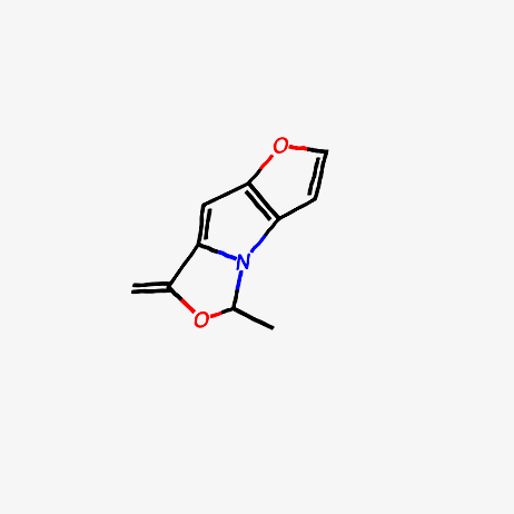 C=C1OC(C)n2c1cc1occc12